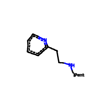 CCCC(C)NCCc1ccccn1